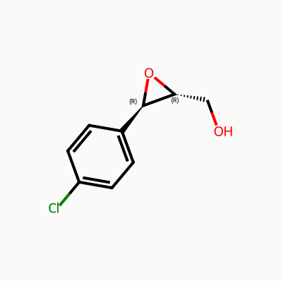 OC[C@H]1O[C@@H]1c1ccc(Cl)cc1